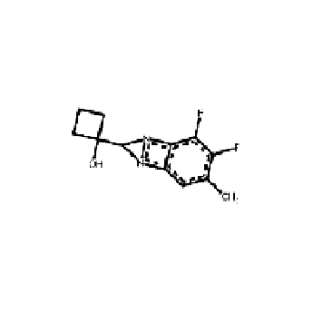 Cc1cc2c(c(F)c1F)n1n2C1C1(O)CCC1